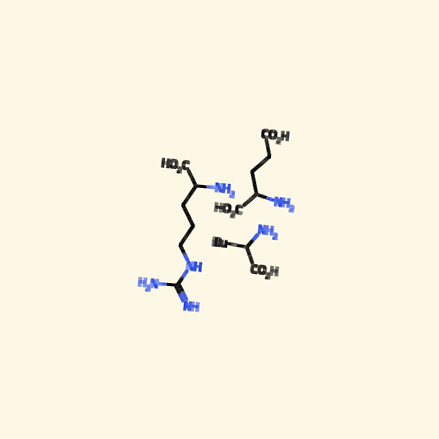 CCC(C)C(N)C(=O)O.N=C(N)NCCCC(N)C(=O)O.NC(CCC(=O)O)C(=O)O